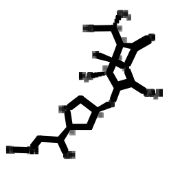 CCNCC(O)[C@@H]1C[C@H](SC2=C(C(=O)O)N3C(=O)[C@H]([C@@H](C)O)[C@H]3[C@H]2C)CN1